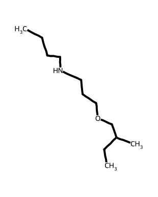 CCCCNCCCOCC(C)CC